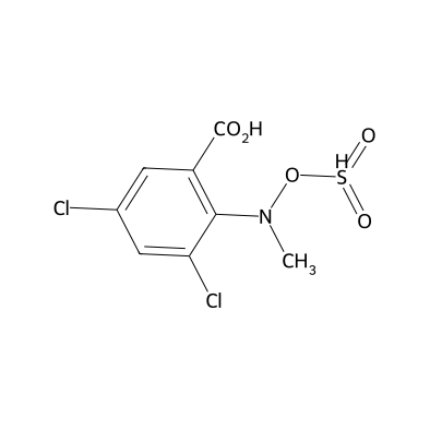 CN(O[SH](=O)=O)c1c(Cl)cc(Cl)cc1C(=O)O